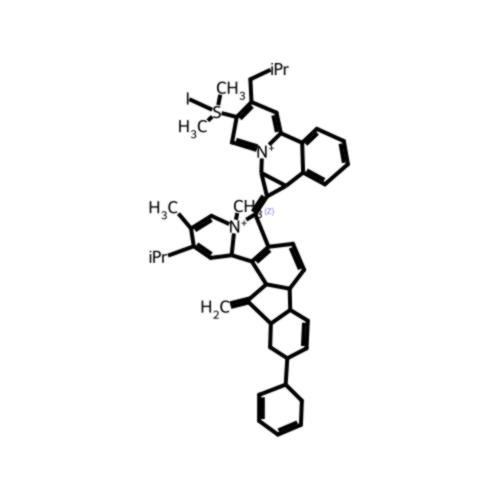 C=C1C2CC(C3C=CC=CC3)C=CC2C2C=CC3=C(C12)C1C=C(C(C)C)C(C)=C[N+]1(C)/C3=C1/C2c3ccccc3-c3cc(CC(C)C)c(S(C)(C)I)c[n+]3C12